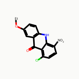 CCOc1ccc2[nH]c3c([N+](=O)[O-])ccc(Cl)c3c(=O)c2c1